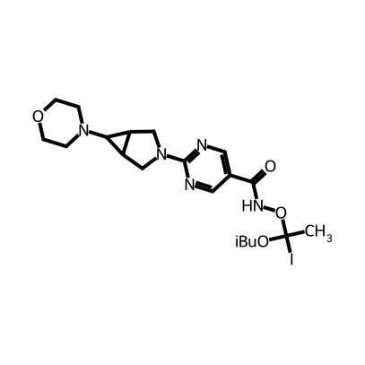 CC(C)COC(C)(I)ONC(=O)c1cnc(N2CC3C(C2)C3N2CCOCC2)nc1